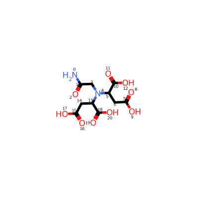 NC(=O)CN(C(CC(=O)O)C(=O)O)C(CC(=O)O)C(=O)O